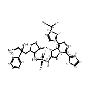 CCC(O)(CC1CCC(C)C1NS(=O)(=O)NC1CC2=C(c3ccn(C(F)F)n3)CN=C(c3nccs3)N2C1)c1ccccn1